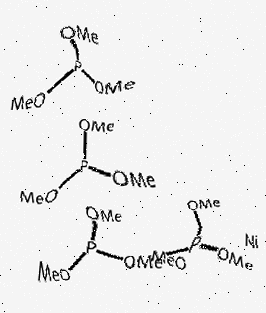 COP(OC)OC.COP(OC)OC.COP(OC)OC.COP(OC)OC.[Ni]